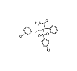 NC(=O)C(c1ccccc1)N(CCc1cccc(Cl)c1)S(=O)(=O)c1ccc(Cl)cc1